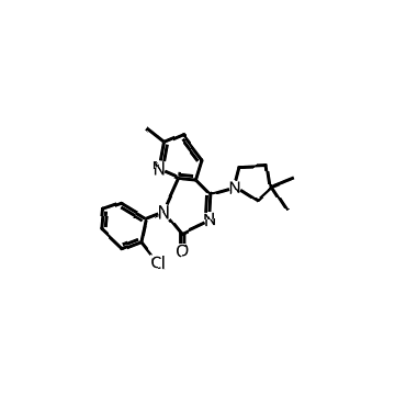 Cc1ccc2c(N3CCC(C)(C)C3)nc(=O)n(-c3ccccc3Cl)c2n1